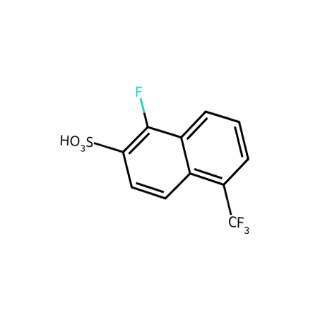 O=S(=O)(O)c1ccc2c(C(F)(F)F)cccc2c1F